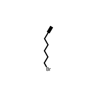 C#CCCCCCBr